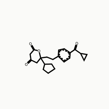 O=C1CC(=O)OC(CCc2ccc(C(=O)C3CC3)cc2)(C2CCCC2)C1